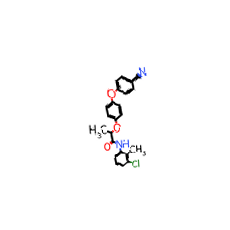 Cc1c(Cl)cccc1NC(=O)C(C)Oc1ccc(Oc2ccc(C#N)cc2)cc1